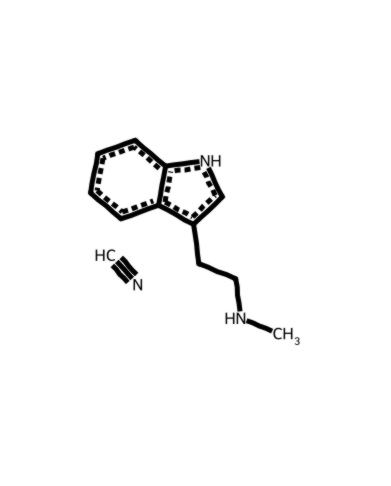 C#N.CNCCc1c[nH]c2ccccc12